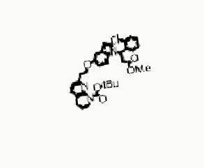 COC(=O)C=C(c1ccccc1Cl)n1ccc2cc(OCCc3ccc4c(n3)N(C(=O)OC(C)(C)C)CCC4)ccc21